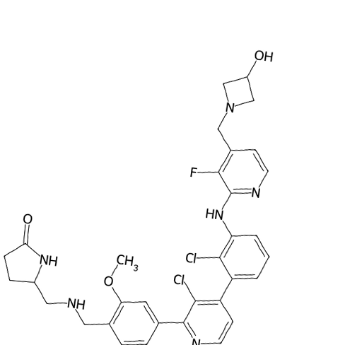 COc1cc(-c2nccc(-c3cccc(Nc4nccc(CN5CC(O)C5)c4F)c3Cl)c2Cl)ccc1CNCC1CCC(=O)N1